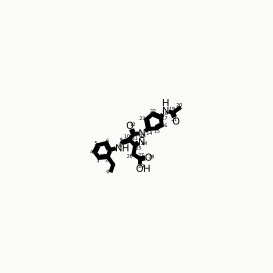 CCc1ccccc1N/C=C1/C(=O)N(c2ccc(NC(C)=O)cc2)N=C1CC(=O)O